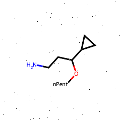 CCCCCOC(CCN)C1CC1